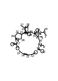 CC(C)N[C@]1(C)CN(C)C(=O)OCC=CCOC(=O)N2CC[C@@](C(=O)C(C)C)(C2)NCC1=O